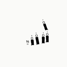 C=O.C=O.C=O.C=O.C=O.[Ni]